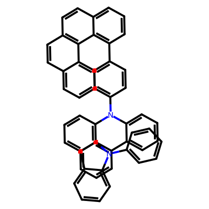 c1ccc(-c2ccccc2N(c2ccc(-c3cccc4ccc5ccc6ccccc6c5c34)cc2)c2cccc3c4ccccc4n(-c4ccccc4)c23)cc1